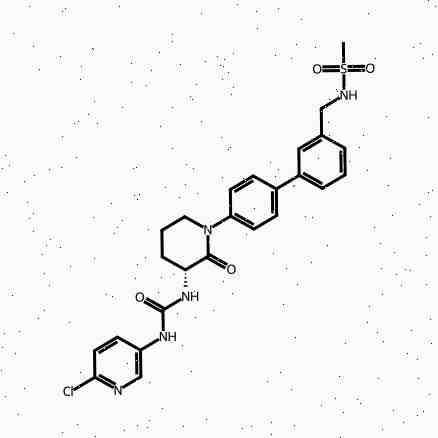 CS(=O)(=O)NCc1cccc(-c2ccc(N3CCC[C@@H](NC(=O)Nc4ccc(Cl)nc4)C3=O)cc2)c1